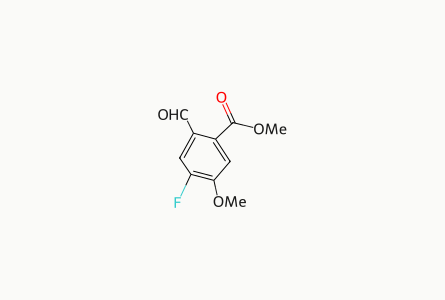 COC(=O)c1cc(OC)c(F)cc1C=O